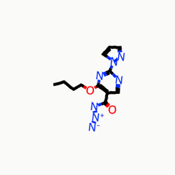 CCCCOc1nc(-n2cccn2)ncc1C(=O)N=[N+]=[N-]